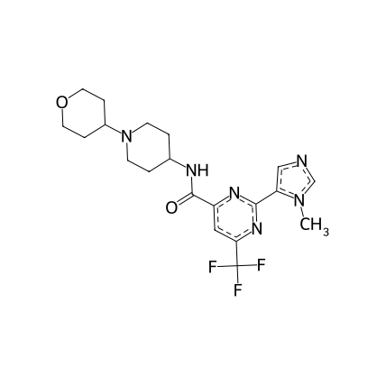 Cn1cncc1-c1nc(C(=O)NC2CCN(C3CCOCC3)CC2)cc(C(F)(F)F)n1